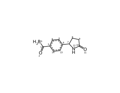 BC(=O)c1ccc(C2CCC(=O)N2)cc1